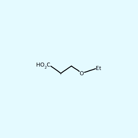 CCOC[CH]C(=O)O